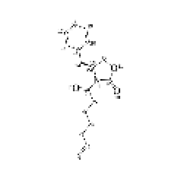 C=CCCCCC(=O)N1C(=O)OC[C@@H]1Cc1ccccc1